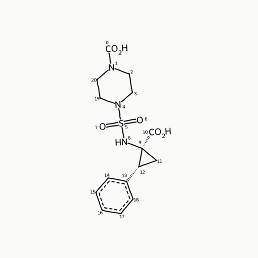 O=C(O)N1CCN(S(=O)(=O)N[C@@]2(C(=O)O)C[C@@H]2c2ccccc2)CC1